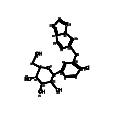 OCC1O[C@@H](c2ccc(Cl)c(Cc3ccc4ncnn4c3)c2)C(O)[C@@H](O)[C@@H]1O